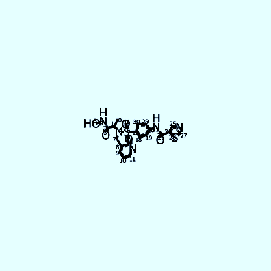 CC(C(=O)NO)N(Cc1cccnc1)S(=O)(=O)c1ccc(NC(=O)c2cncs2)cc1